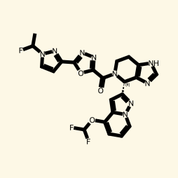 CC(F)n1ccc(-c2nnc(C(=O)N3CCc4[nH]cnc4[C@@H]3c3cc4c(OC(F)F)cccn4n3)o2)n1